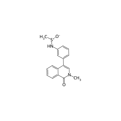 Cn1cc(-c2cccc(N[S+](C)[O-])c2)c2ccccc2c1=O